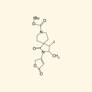 CC1C(I)C2(CCN(C(=O)OC(C)(C)C)CC2)C(=O)N1C1=CC(=O)OC1